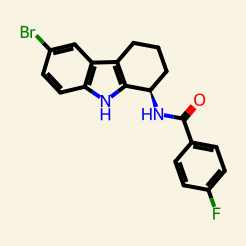 O=C(N[C@@H]1CCCc2c1[nH]c1ccc(Br)cc21)c1ccc(F)cc1